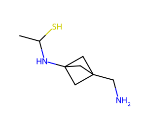 CC(S)NC12CC(CN)(C1)C2